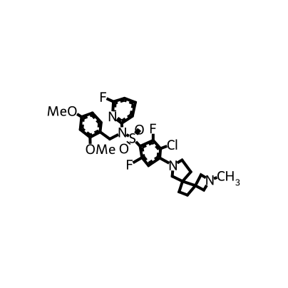 COc1ccc(CN(c2cccc(F)n2)S(=O)(=O)c2c(F)cc(N3CCC4(CCC45CN(C)C5)C3)c(Cl)c2F)c(OC)c1